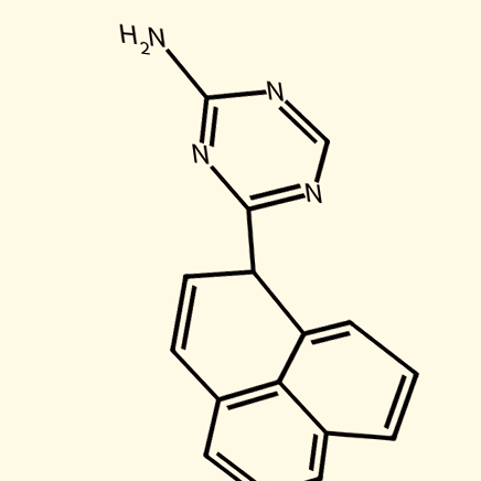 Nc1ncnc(C2C=Cc3cccc4cccc2c34)n1